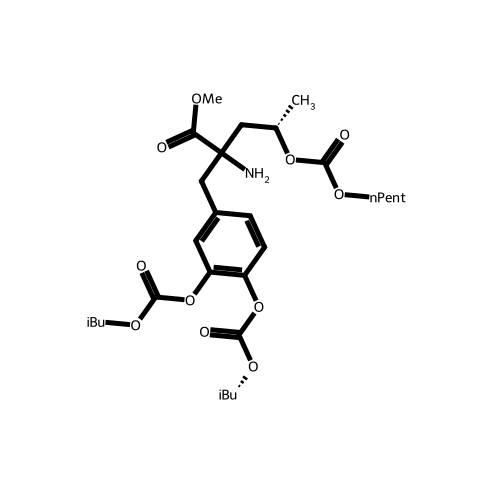 CCCCCOC(=O)O[C@@H](C)CC(N)(Cc1ccc(OC(=O)O[C@@H](C)CC)c(OC(=O)OC(C)CC)c1)C(=O)OC